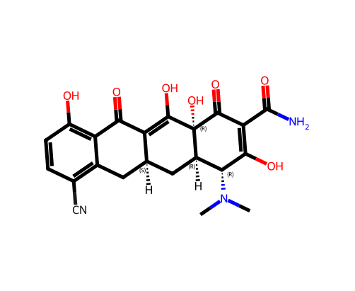 CN(C)[C@H]1C(O)=C(C(N)=O)C(=O)[C@]2(O)C(O)=C3C(=O)c4c(O)ccc(C#N)c4C[C@@H]3C[C@H]12